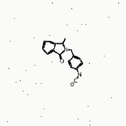 CC1c2ccccc2C(=O)N1Cc1ccc(N=C=O)cc1